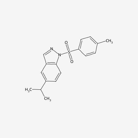 Cc1ccc(S(=O)(=O)n2ncc3cc(C(C)C)ccc32)cc1